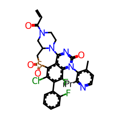 C=CC(=O)N1CCN2c3nc(=O)n(-c4c(C)ccnc4C(C)C)c4c(F)c(-c5ccccc5F)c(Cl)c(c34)S(=O)(=O)CC2C1